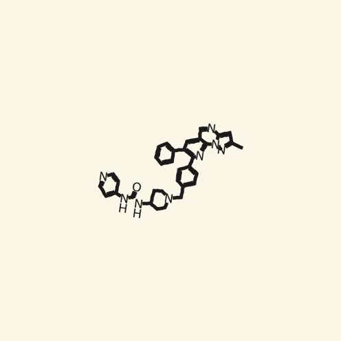 Cc1cc2ncc3cc(-c4ccccc4)c(-c4ccc(CN5CCC(NC(=O)Nc6ccncc6)CC5)cc4)nc3n2n1